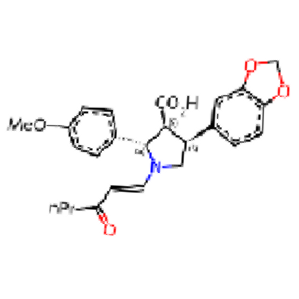 CCCC(=O)C=CN1C[C@H](c2ccc3c(c2)OCO3)[C@H](C(=O)O)[C@H]1c1ccc(OC)cc1